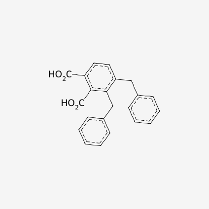 O=C(O)c1ccc(Cc2ccccc2)c(Cc2ccccc2)c1C(=O)O